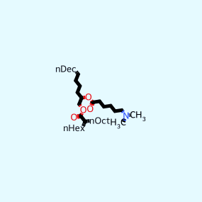 CCCCCCCCCCCCCCC(COC(=O)C(CCCCCC)CCCCCCCC)OC(=O)CCCCCN(C)C